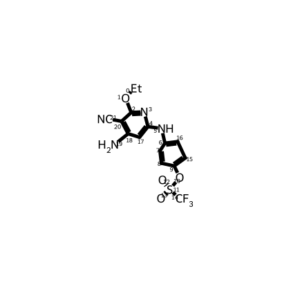 CCOc1nc(Nc2ccc(OS(=O)(=O)C(F)(F)F)cc2)cc(N)c1C#N